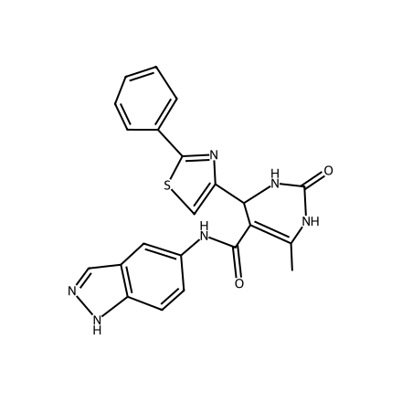 CC1=C(C(=O)Nc2ccc3[nH]ncc3c2)C(c2csc(-c3ccccc3)n2)NC(=O)N1